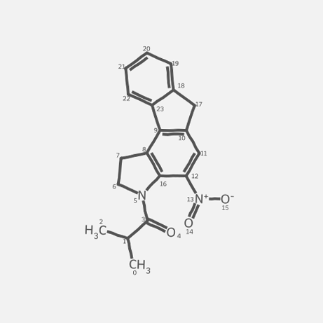 CC(C)C(=O)N1CCc2c3c(cc([N+](=O)[O-])c21)Cc1ccccc1-3